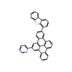 c1ccc(-c2cc3c4ccccc4c4cccc5c6cc(-c7cccc8c7sc7ccccc78)ccc6c(c2)c3c45)nc1